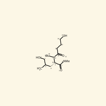 CNC(=O)[C@H](CC(C)CO)N(C(=O)CCCS)C(C)(C)C